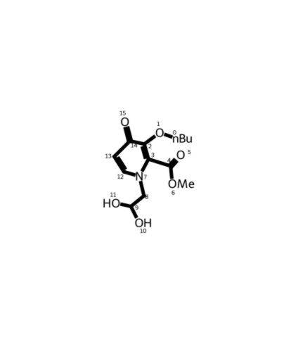 CCCCOc1c(C(=O)OC)n(CC(O)O)ccc1=O